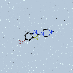 CN1CCN(c2nc3ccc(Br)cc3s2)CC1